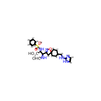 O=CNC(C1=NOC2(CCC(CNc3ncc[nH]3)CC2)C1)[C@H](NS(=O)(=O)c1ccccc1)C(=O)O